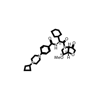 CO[C@@H]1CN(C(=O)[C@@H](NC(=O)c2ccc(N3CCN(C4CCC4)CC3)cc2)C2CCCCC2)[C@@H]2C(=O)CO[C@@H]21